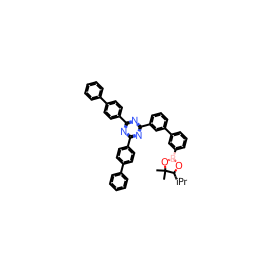 CC(C)C1OB(c2cccc(-c3cccc(-c4nc(-c5ccc(-c6ccccc6)cc5)nc(-c5ccc(-c6ccccc6)cc5)n4)c3)c2)OC1(C)C